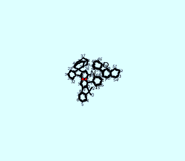 CC1(C)c2ccccc2-c2cccc(-c3ccccc3N(c3ccc4c(c3)C3(c5ccccc5-4)C4CC5CC(C4)CC3C5)c3cccc4oc5c6ccccc6ccc5c34)c21